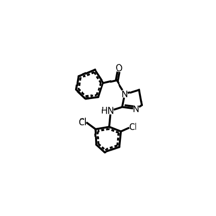 O=C(c1ccccc1)N1CCN=C1Nc1c(Cl)cccc1Cl